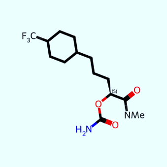 CNC(=O)[C@H](CCCC1CCC(C(F)(F)F)CC1)OC(N)=O